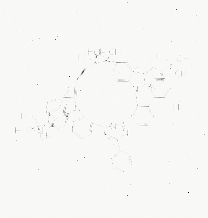 Cc1ccccc1-c1cccc2c1-n1c3ccc(C(C)(C)C)cc3c3cc(ccc31)C(C)(C)C(C)(C)c1ccc3c(c1)c1cc(C(C)(C)C)ccc1n3-c1c(cccc1-c1ccccc1C)-c1nc(-c3ccccc3)nc-2n1